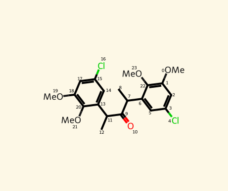 COc1cc(Cl)cc(C(C)C(=O)C(C)c2cc(Cl)cc(OC)c2OC)c1OC